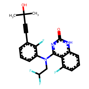 CC(C)(O)C#Cc1cccc(N(CC(F)F)c2nc(=O)[nH]c3cccc(F)c23)c1F